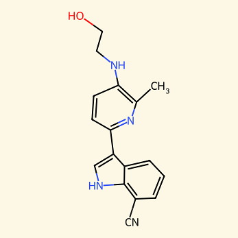 Cc1nc(-c2c[nH]c3c(C#N)cccc23)ccc1NCCO